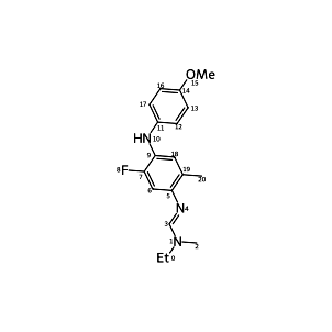 CCN(C)C=Nc1cc(F)c(Nc2ccc(OC)cc2)cc1C